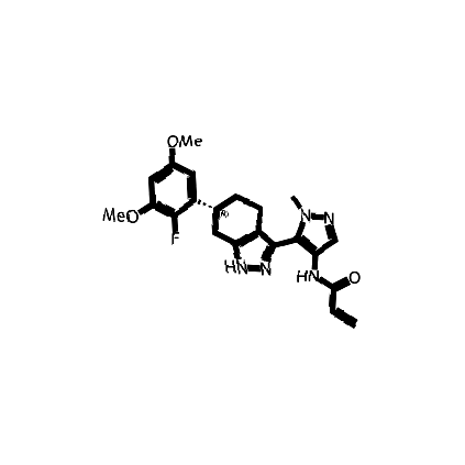 C=CC(=O)Nc1cnn(C)c1-c1n[nH]c2c1CC[C@@H](c1cc(OC)cc(OC)c1F)C2